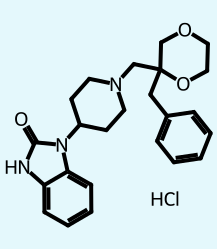 Cl.O=c1[nH]c2ccccc2n1C1CCN(CC2(Cc3ccccc3)COCCO2)CC1